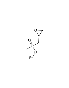 CCOP(C)(=O)CC1CO1